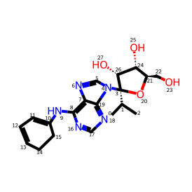 CC(C)[C@@]1(n2cnc3c(NC4=CC=CCC4)ncnc32)O[C@H](CO)[C@@H](O)[C@H]1O